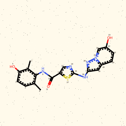 Cc1ccc(O)c(C)c1NC(=O)c1cnc(Nc2cc3ccc(O)cn3n2)s1